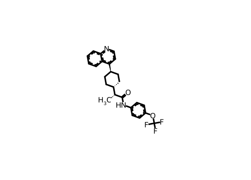 C[C@@H](C(=O)Nc1ccc(OC(F)(F)F)cc1)[C@H]1CC[C@H](c2ccnc3ccccc32)CC1